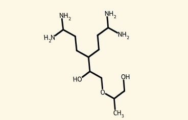 CC(CO)OCC(O)C(CCC(N)N)CCC(N)N